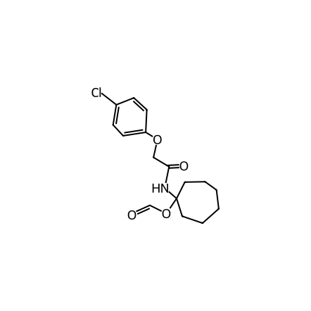 O=COC1(NC(=O)COc2ccc(Cl)cc2)CCCCCC1